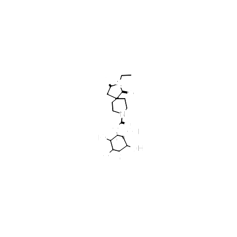 CCN1C(=O)CC2(CCN(C(=O)O[C@@H]3C(O)C(O)[C@@H](O)C(O)[C@H]3O)CC2)C1=O